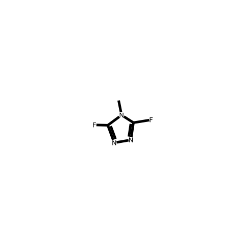 Cn1c(F)nnc1F